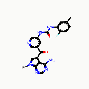 Cc1ccc(F)c(NC(=O)Nc2cncc(C(=O)c3cn(C(C)C)c4ncnc(N)c34)c2)c1